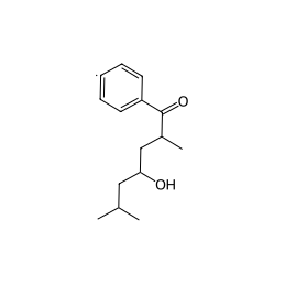 CC(C)CC(O)CC(C)C(=O)c1cc[c]cc1